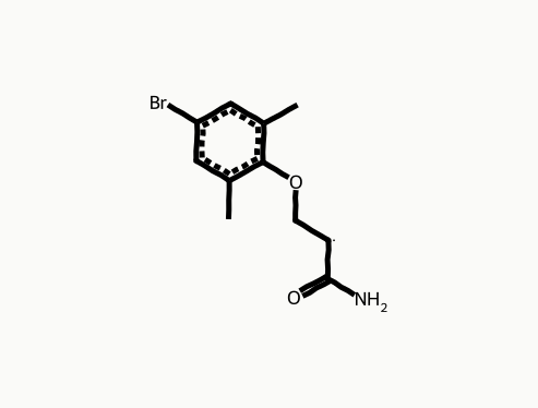 Cc1cc(Br)cc(C)c1OC[CH]C(N)=O